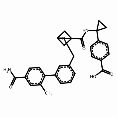 Cc1cc(C(N)=O)ccc1-c1cccc(CN2CC3CC2(C(=O)NC2(c4ccc(C(=O)O)cc4)CC2)C3)c1